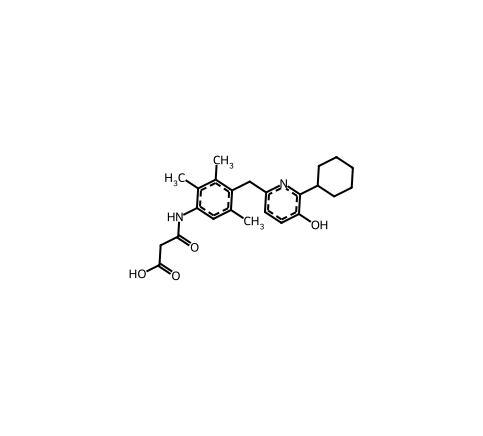 Cc1cc(NC(=O)CC(=O)O)c(C)c(C)c1Cc1ccc(O)c(C2CCCCC2)n1